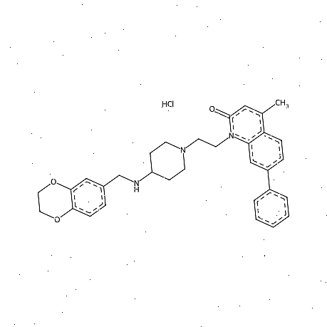 Cc1cc(=O)n(CCN2CCC(NCc3ccc4c(c3)OCCO4)CC2)c2cc(-c3ccccc3)ccc12.Cl